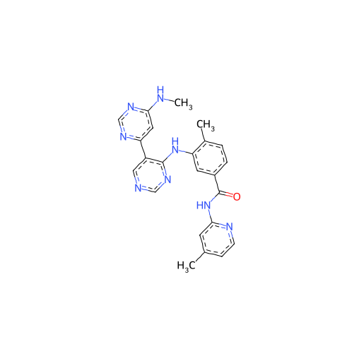 CNc1cc(-c2cncnc2Nc2cc(C(=O)Nc3cc(C)ccn3)ccc2C)ncn1